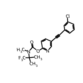 CN(C(=O)Oc1ccc(C#Cc2cccc(Cl)c2)cn1)C(C)(C)C(F)(F)F